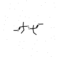 CCC(C)(C=NC)OOC(C)(C=NC)CC